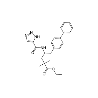 CCOC(=O)C(C)(C)CC(Cc1ccc(-c2ccccc2)cc1)NC(=O)c1cnn[nH]1